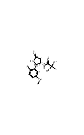 COc1ccc(F)c([C@H]2NC(=O)C[C@@H]2NC(=O)C(C)(F)F)c1